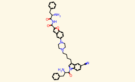 N#Cc1ccc2c(c1)c(CCCCN1CCN(c3ccc4oc(C(=O)NC(=O)C(N)Cc5ccccc5)cc4c3)CC1)cn2C(=O)C(N)Cc1ccccc1